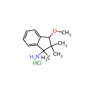 COC1c2ccccc2C(C)(N)C1(C)C.Cl